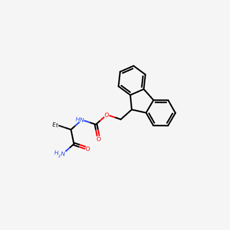 CCC(NC(=O)OCC1c2ccccc2-c2ccccc21)C(N)=O